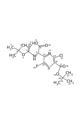 CC(C)(C)OC(=O)NC(C(=O)O)c1nc(Cl)c(C(=O)OC(C)(C)C)cc1F